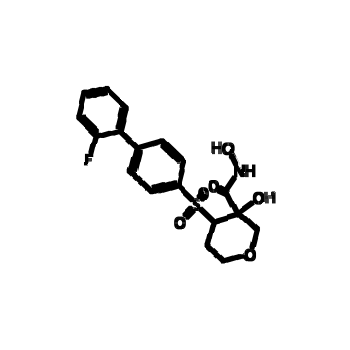 O=C(NO)C1(O)COCCC1S(=O)(=O)c1ccc(-c2ccccc2F)cc1